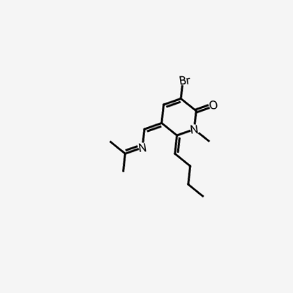 CCC/C=c1/c(=C\N=C(C)C)cc(Br)c(=O)n1C